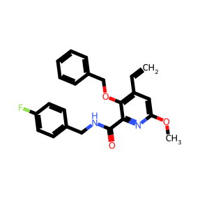 C=Cc1cc(OC)nc(C(=O)NCc2ccc(F)cc2)c1OCc1ccccc1